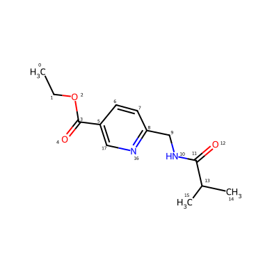 CCOC(=O)c1ccc(CNC(=O)C(C)C)nc1